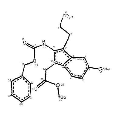 COc1ccc2c(c1)c(CCC(=O)O)c(NC(=O)OCc1ccccc1)n2CC(=O)OC(C)(C)C